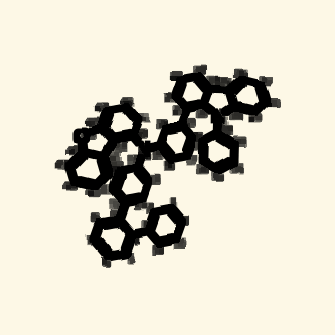 c1ccc(-c2ccccc2-c2ccc(N(c3cccc(-c4cccc5c6ccccc6n(-c6ccccc6)c45)c3)c3cccc4oc5ccccc5c34)cc2)cc1